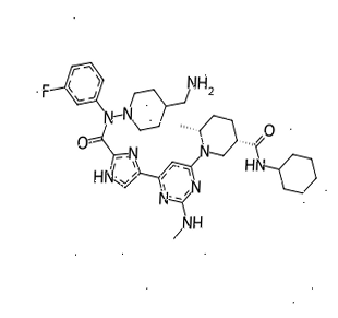 CNc1nc(-c2c[nH]c(C(=O)N(c3cccc(F)c3)N3CCC(CN)CC3)n2)cc(N2C[C@@H](C(=O)NC3CCCCC3)CC[C@H]2C)n1